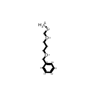 CSCOCCCOCc1ccccc1